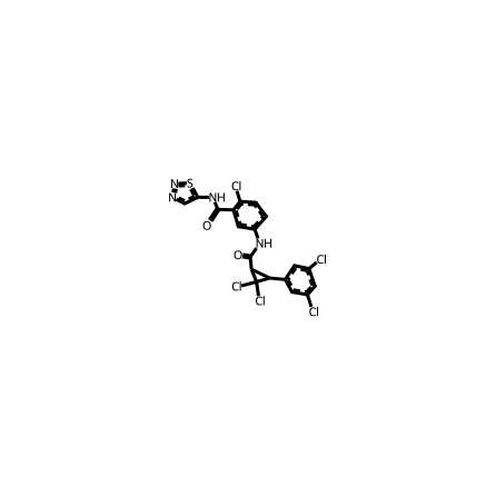 O=C(Nc1cnns1)c1cc(NC(=O)C2C(c3cc(Cl)cc(Cl)c3)C2(Cl)Cl)ccc1Cl